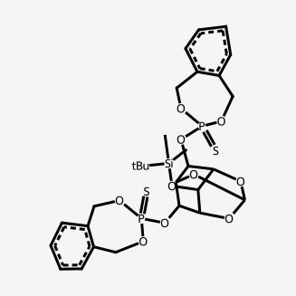 CC(C)(C)[Si](C)(C)OC1C2OC3OC1C(OP1(=S)OCc4ccccc4CO1)C(O3)C2OP1(=S)OCc2ccccc2CO1